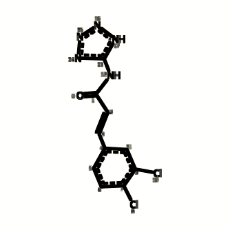 O=C(/C=C/c1ccc(Cl)c(Cl)c1)Nc1nnn[nH]1